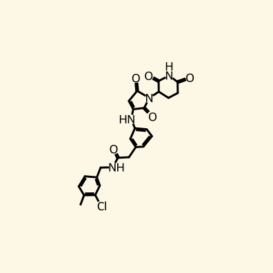 Cc1ccc(CNC(=O)Cc2cccc(NC3=CC(=O)N(C4CCC(=O)NC4=O)C3=O)c2)cc1Cl